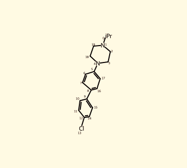 CC(C)N1CCN(c2ccc(-c3ccc(Cl)cc3)cc2)CC1